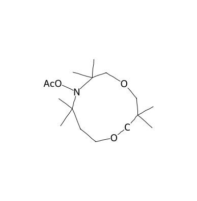 CC(=O)ON1C(C)(C)CCOCC(C)(C)COCC1(C)C